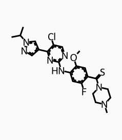 COc1cc(C(=S)N2CCN(C)CC2)c(F)cc1Nc1ncc(Cl)c(-c2cnn(C(C)C)c2)n1